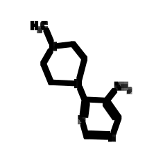 CN1CCN(c2ncncc2N)CC1